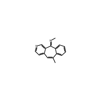 C/N=c1/c2cnccc2cc(C)c2ccccc12